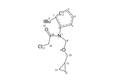 CC(C)(C)c1ccccc1N(COCC1CC1)C(=O)CCl